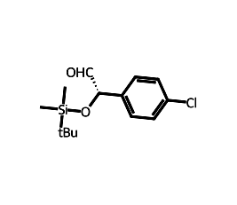 CC(C)(C)[Si](C)(C)O[C@H](C=O)c1ccc(Cl)cc1